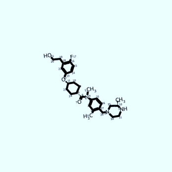 Cc1cc(N(C)C(=O)[C@H]2CC[C@H](Oc3ccc(F)c(CCO)c3)CC2)ccc1CN1CCN[C@@H](C)C1